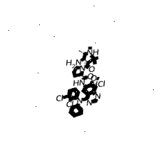 CN[C@@H](C)C(N)[C@@H](C(=O)N1CCC[C@H]1C(=O)Nc1cc2c(N(c3ccccc3)c3cccc(Cl)c3Cl)ncnc2cc1OC)C(C)(C)C.Cl